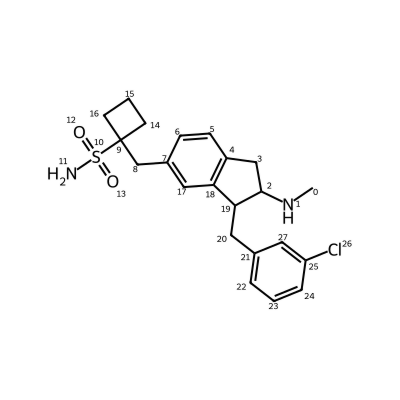 CNC1Cc2ccc(CC3(S(N)(=O)=O)CCC3)cc2C1Cc1cccc(Cl)c1